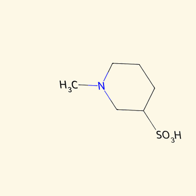 CN1CCCC(S(=O)(=O)O)C1